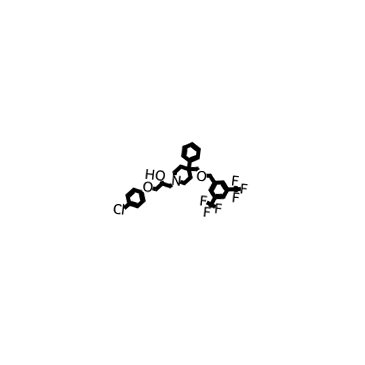 OC(COc1ccc(Cl)cc1)CN1CCC(COCc2cc(C(F)(F)F)cc(C(F)(F)F)c2)(c2ccccc2)CC1